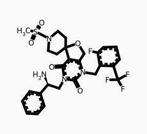 CS(=O)(=O)N1CCC2(CC1)OCc1c2c(=O)n(C[C@H](N)c2ccccc2)c(=O)n1Cc1c(F)cccc1C(F)(F)F